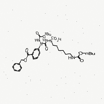 CCCCOC(=O)NCCCCCCN(NC(=O)N(NC(=O)OC(C)(C)C)c1cccc(C(=O)OCc2ccccc2)c1)C(=O)O